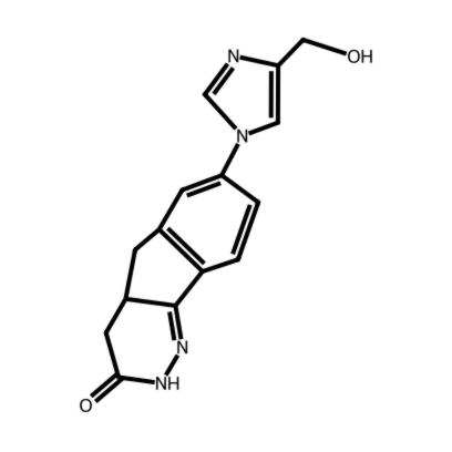 O=C1CC2Cc3cc(-n4cnc(CO)c4)ccc3C2=NN1